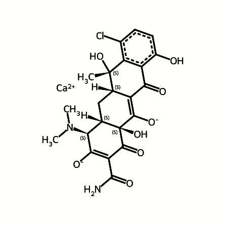 CN(C)[C@@H]1C([O-])=C(C(N)=O)C(=O)[C@@]2(O)C([O-])=C3C(=O)c4c(O)ccc(Cl)c4[C@@](C)(O)[C@H]3C[C@@H]12.[Ca+2]